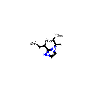 CCCCCCCCCCCC(CCCCC)c1[nH]cc[n+]1C(C)CCCCCCCCCCC